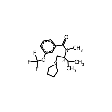 CC(C)[C@@H](CN1CCCC1)N(C)C(=O)c1cccc(OC(F)(F)F)c1